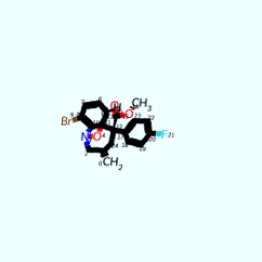 C=C1CN2O[C@@H]3C=CC(Br)=C2C3[C@](C(=O)OC)(c2ccc(F)cc2)C1